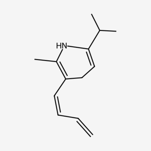 C=C/C=C\C1=C(C)NC(C(C)C)=CC1